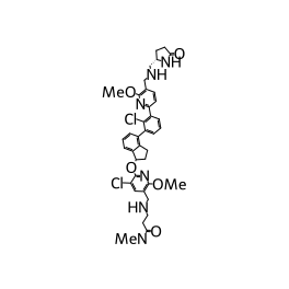 CNC(=O)CCNCc1cc(Cl)c(O[C@H]2CCc3c(-c4cccc(-c5ccc(CNC[C@@H]6CCC(=O)N6)c(OC)n5)c4Cl)cccc32)nc1OC